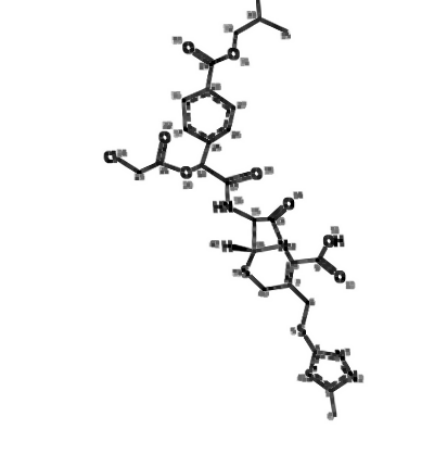 Cc1nnc(SCC2=C(C(=O)O)N3C(=O)C(NC(=O)C(OC(=O)CCl)c4ccc(C(=O)OCC(C)C)cc4)[C@H]3SC2)s1